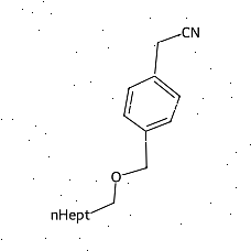 CCCCCCCCOCc1ccc(CC#N)cc1